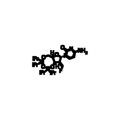 CC(C)[Si]1(C(C)C)OC[C@H]2O[C@H](n3ccc(N)nc3=O)/C(=C/F)[C@@H]2O[Si](C(C)C)(C(C)C)O1